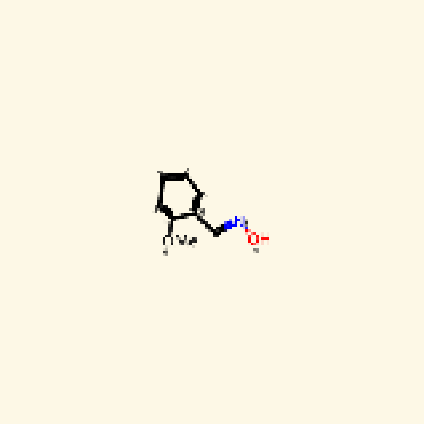 COc1ccccc1C=NO